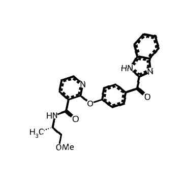 COC[C@H](C)NC(=O)c1cccnc1Oc1ccc(C(=O)c2nc3ccccc3[nH]2)cc1